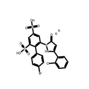 O=c1cc(-c2ccccc2Cl)[nH]n1-c1cc(S(=O)(=O)O)cc(S(=O)(=O)O)c1-c1ccc(Br)cc1.[K].[K]